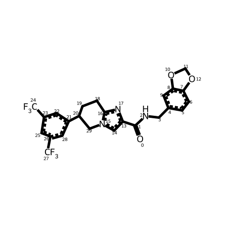 O=C(NCc1ccc2c(c1)OCO2)c1cn2c(n1)CCC(c1cc(C(F)(F)F)cc(C(F)(F)F)c1)C2